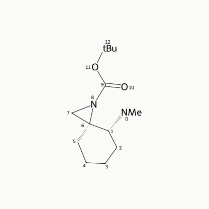 CN[C@@H]1CCCC[C@@]12CN2C(=O)OC(C)(C)C